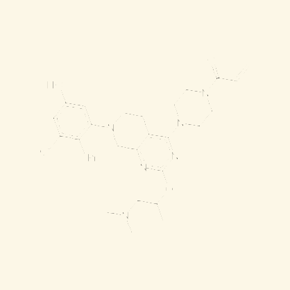 C=CC(=O)N1CCN(c2nc(OC(C)CN(C)C)nc3c2CCN(c2cc(O)cc(Cl)c2C(C)C)C3)CC1